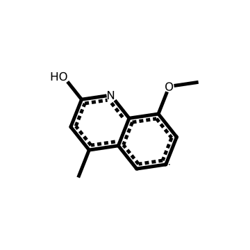 COc1c[c]cc2c(C)cc(O)nc12